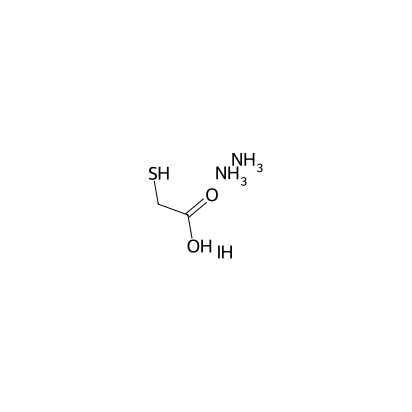 I.N.N.O=C(O)CS